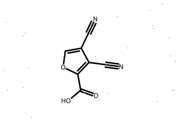 N#Cc1coc(C(=O)O)c1C#N